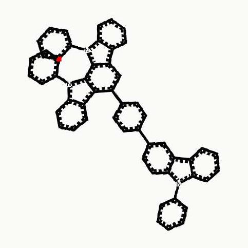 c1ccc(-n2c3ccccc3c3cc(-c4ccc(-c5cc6c7ccccc7n(-c7ccccc7)c6c6c5c5ccccc5n6-c5ccccc5)cc4)ccc32)cc1